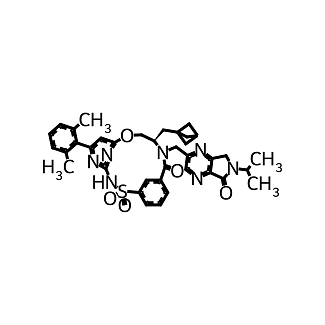 Cc1cccc(C)c1-c1cc2nc(n1)NS(=O)(=O)c1cccc(c1)C(=O)N(Cc1cnc3c(n1)CN(C(C)C)C3=O)[C@H](CC13CC(C1)C3)CO2